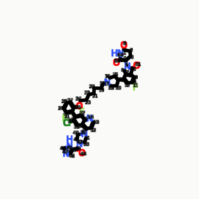 O=C1CCC(N2Cc3c(cc(F)cc3C3CCN(CCCCCCCOc4cccc(F)c4-c4c(Cl)cc5c(N6CCN(C(=O)c7cnc[nH]7)CC6)ccnc5c4F)CC3)C2=O)C(=O)N1